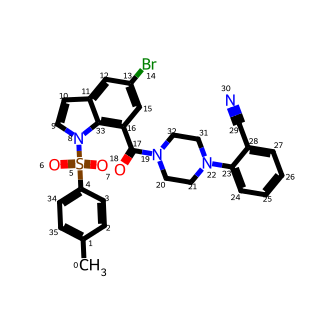 Cc1ccc(S(=O)(=O)n2ccc3cc(Br)cc(C(=O)N4CCN(c5ccccc5C#N)CC4)c32)cc1